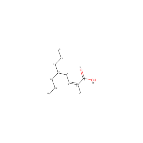 CCCC(CC=C(C)C(=O)O)CCC